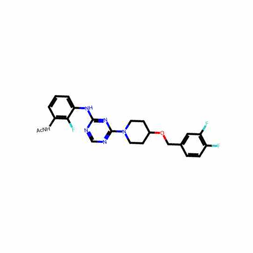 CC(=O)Nc1cccc(Nc2ncnc(N3CCC(OCc4ccc(F)c(F)c4)CC3)n2)c1F